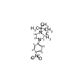 C[C@@H]1CN(c2ccc([N+](=O)[O-])cc2)CCN1C(C)(C)C